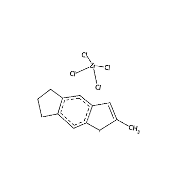 CC1=Cc2cc3c(cc2[CH]1)CCC3.[Cl][Zr]([Cl])([Cl])[Cl]